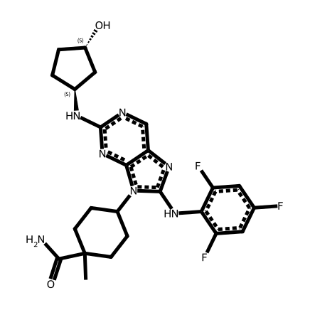 CC1(C(N)=O)CCC(n2c(Nc3c(F)cc(F)cc3F)nc3cnc(N[C@H]4CC[C@H](O)C4)nc32)CC1